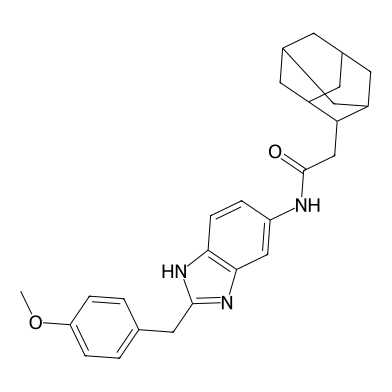 COc1ccc(Cc2nc3cc(NC(=O)CC4C5CC6CC(C5)CC4C6)ccc3[nH]2)cc1